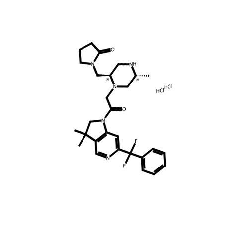 C[C@@H]1CN(CC(=O)N2CC(C)(C)c3cnc(C(F)(F)c4ccccc4)cc32)[C@@H](CN2CCCC2=O)CN1.Cl.Cl